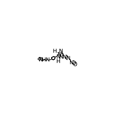 Nc1cc(N2CCN(CCN3CCOCC3)CC2)nc(NCc2ccc(CNCCCN3CCCC3)cc2)n1